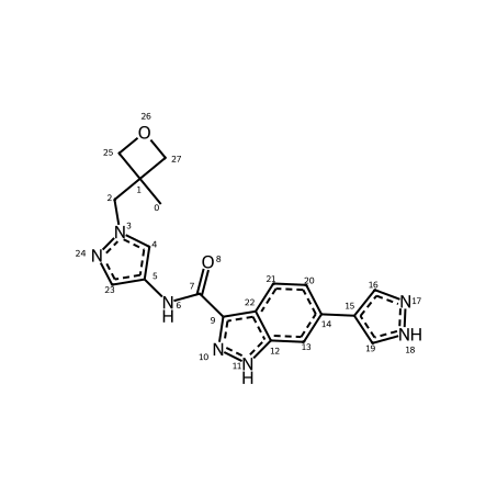 CC1(Cn2cc(NC(=O)c3n[nH]c4cc(-c5cn[nH]c5)ccc34)cn2)COC1